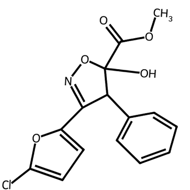 COC(=O)C1(O)ON=C(c2ccc(Cl)o2)C1c1ccccc1